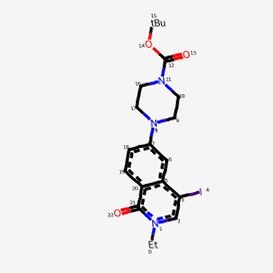 CCn1cc(I)c2cc(N3CCN(C(=O)OC(C)(C)C)CC3)ccc2c1=O